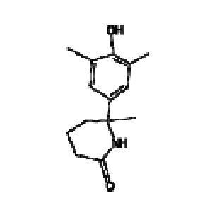 Cc1cc(C2(C)CCCC(=O)N2)cc(C)c1O